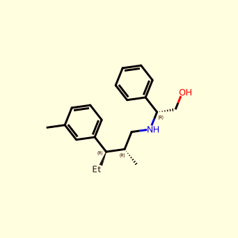 CC[C@@H](c1cccc(C)c1)[C@@H](C)CN[C@@H](CO)c1ccccc1